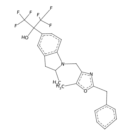 Cc1oc(Cc2ccccc2)nc1CN1c2ccc(C(O)(C(F)(F)F)C(F)(F)F)cc2CC1C